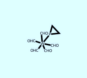 O=[CH][W]([CH]=O)([CH]=O)([CH]=O)([CH]=O)[P]1CC1